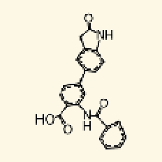 O=C1Cc2cc(-c3ccc(C(=O)O)c(NC(=O)c4ccccc4)c3)ccc2N1